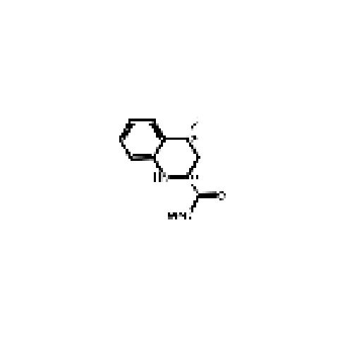 COC(=O)[C@H]1C[C@@H](C)c2ccccc2N1